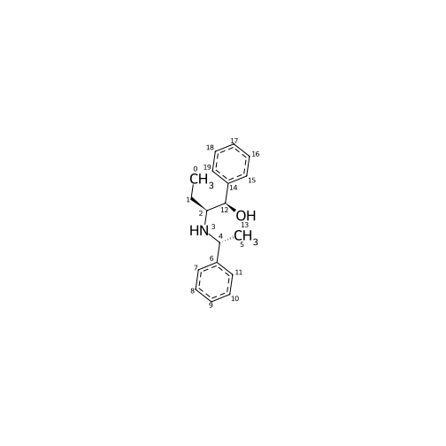 CC[C@H](N[C@H](C)c1ccccc1)[C@H](O)c1ccccc1